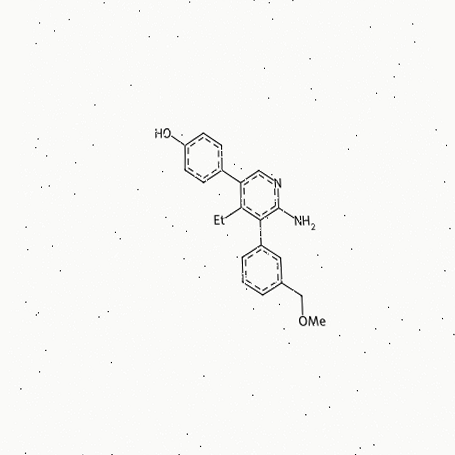 CCc1c(-c2ccc(O)cc2)cnc(N)c1-c1cccc(COC)c1